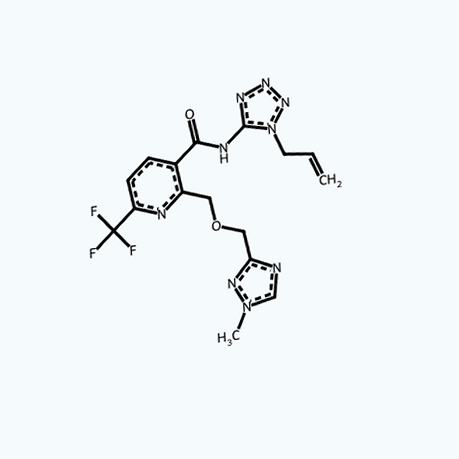 C=CCn1nnnc1NC(=O)c1ccc(C(F)(F)F)nc1COCc1ncn(C)n1